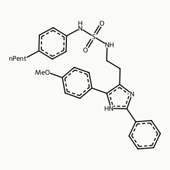 CCCCCc1ccc(NS(=O)(=O)NCCc2nc(-c3ccccc3)[nH]c2-c2ccc(OC)cc2)cc1